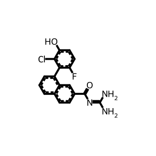 NC(N)=NC(=O)c1ccc2cccc(-c3c(F)ccc(O)c3Cl)c2c1